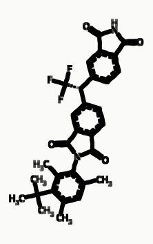 Cc1cc(C)c(C(C)(C)C)c(C)c1N1C(=O)c2ccc([C@@H](c3ccc4c(c3)C(=O)NC4=O)C(F)(F)F)cc2C1=O